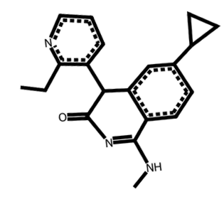 CCc1ncccc1C1C(=O)N=C(NC)c2ccc(C3CC3)cc21